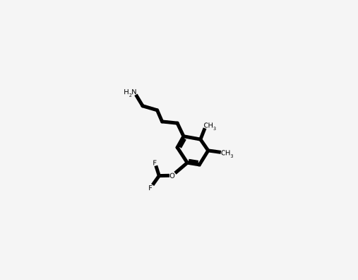 CC1C=C(OC(F)F)C=C(CCCCN)C1C